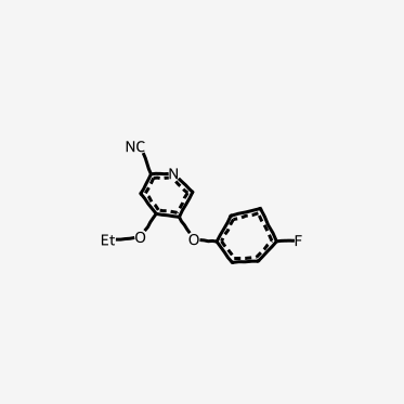 CCOc1cc(C#N)ncc1Oc1ccc(F)cc1